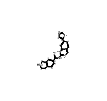 O=C(Nc1ncc2ccc(-c3cncs3)cc2n1)c1ccc2c(c1)CNCC2